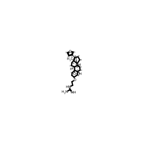 C[C@]12CC[C@H](OCCNC(=N)N)C[C@H]1CC[C@H]1[C@H]3CC[C@H](c4ccoc4)[C@@]3(C)CC[C@@H]12